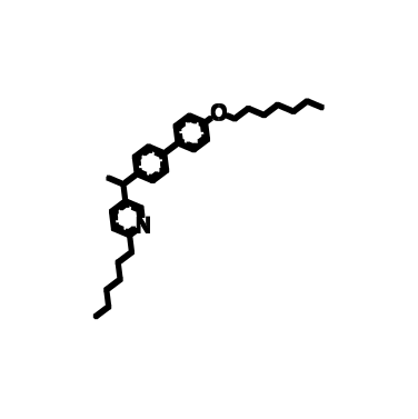 CCCCCCCOc1ccc(-c2ccc(C(C)c3ccc(CCCCCC)nc3)cc2)cc1